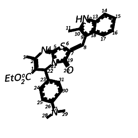 CCOC(=O)C1=C(C)N=c2s/c(=C\c3c(C)[nH]c4ccccc34)c(=O)n2C1c1ccc(N(C)C)cc1